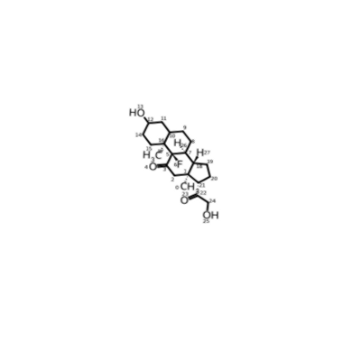 C[C@]12CC(=O)[C@@]3(F)[C@@H](CCC4CC(O)CC[C@@]43C)[C@@H]1CC[C@@H]2C(=O)CO